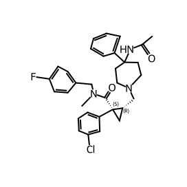 CC(=O)NC1(c2ccccc2)CCN(C[C@@H]2C[C@@]2(C(=O)N(C)Cc2ccc(F)cc2)c2cccc(Cl)c2)CC1